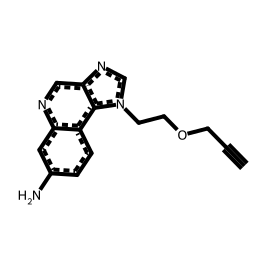 C#CCOCCn1cnc2cnc3cc(N)ccc3c21